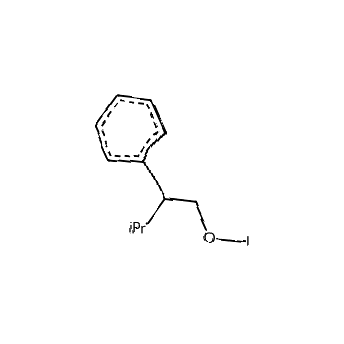 CC(C)C(COI)c1ccccc1